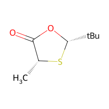 C[C@H]1S[C@@H](C(C)(C)C)OC1=O